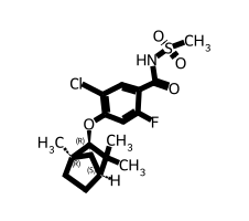 CC1(C)[C@H]2CC[C@](C)(C2)[C@H]1Oc1cc(F)c(C(=O)NS(C)(=O)=O)cc1Cl